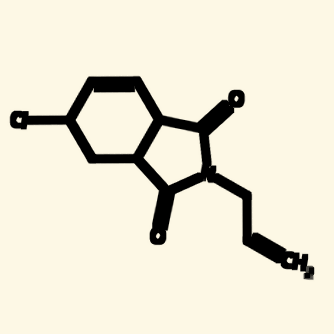 C=CCN1C(=O)C2C=CC(Cl)CC2C1=O